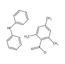 Cc1cc(C)c(C(=O)Cl)c(C)c1.c1ccc(Pc2ccccc2)cc1